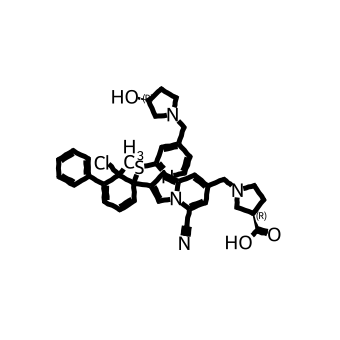 CC1(Cl)C(c2ccccc2)=CC=CC1(Sc1cc(CN2CC[C@@H](O)C2)ccn1)c1cc2cc(CN3CC[C@@H](C(=O)O)C3)cc(C#N)n2c1